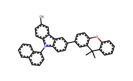 CC1(C)c2ccccc2Oc2ccc(-c3ccc4c(c3)c3cc(C#N)ccc3n4-c3cccc4ccccc34)cc21